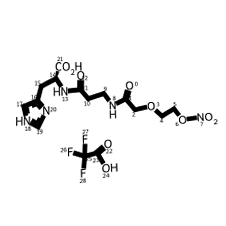 O=C(COCCO[N+](=O)[O-])NCCC(=O)N[C@@H](Cc1c[nH]cn1)C(=O)O.O=C(O)C(F)(F)F